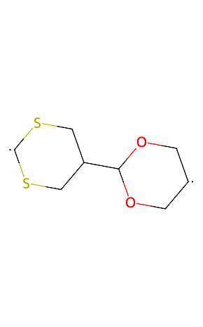 [CH]1COC(C2CS[CH]SC2)OC1